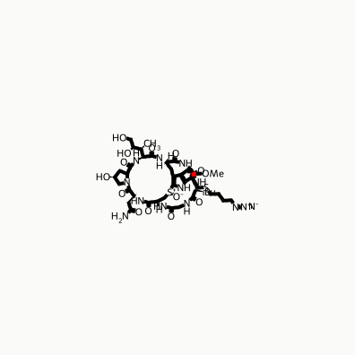 CC[C@H](C)[C@@H]1NC(=O)CNC(=O)[C@@H]2Cc3c([nH]c4c(CSCCCCN=[N+]=[N-])c(OC)ccc34)[S+]([O-])C[C@H](NC(=O)CNC1=O)C(=O)N[C@@H](CC(N)=O)C(=O)N1C[C@H](O)CC1C(=O)N[C@@H]([C@@H](C)[C@@H](O)CO)C(=O)N2